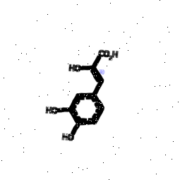 O=C(O)/C(O)=C/c1ccc(O)c(O)c1